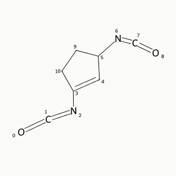 O=C=NC1=CC(N=C=O)CC1